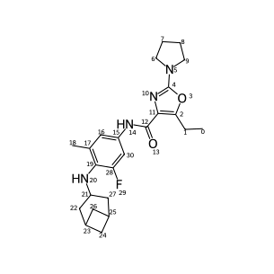 CCc1oc(N2CCCC2)nc1C(=O)Nc1cc(C)c(NC2CC3CC(C3)C2)c(F)c1